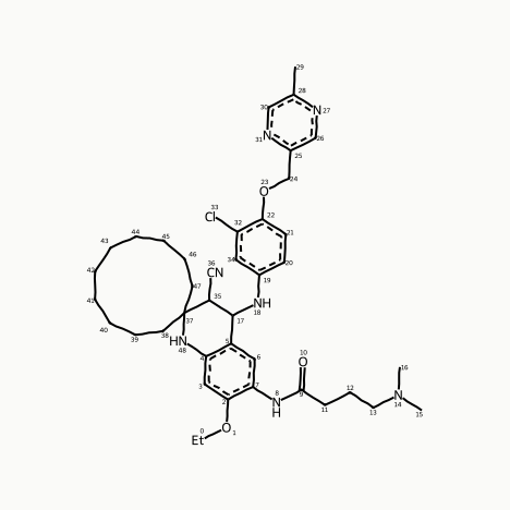 CCOc1cc2c(cc1NC(=O)CCCN(C)C)C(Nc1ccc(OCc3cnc(C)cn3)c(Cl)c1)C(C#N)C1(CCCCCCCCCC1)N2